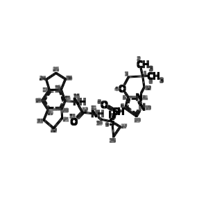 CC1(C)COc2c([SH](=O)=[SH]3(CNC(=O)Nc4c5c(cc6c4CCC6)CCC5)CC3)cnn2C1